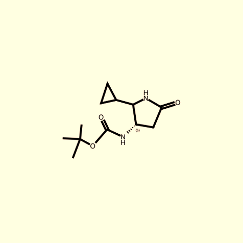 CC(C)(C)OC(=O)N[C@H]1CC(=O)NC1C1CC1